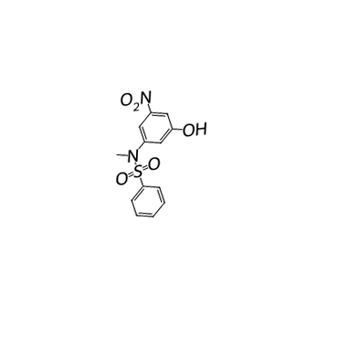 CN(c1cc(O)cc([N+](=O)[O-])c1)S(=O)(=O)c1ccccc1